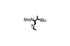 C/C=N\C=C(/NC)C(C)C(C)CC